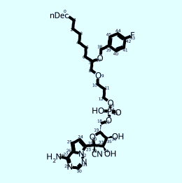 CCCCCCCCCCCCCCCCC(COCCCOP(=O)(O)OC[C@H]1O[C@@](C#N)(c2ccc3c(N)ncnn23)[C@H](O)[C@@H]1O)OCc1ccc(F)cc1